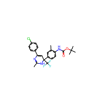 CC1=NC(c2ccc(Cl)cc2)=CC(c2ccc(NC(=O)OC(C)(C)C)c(C)c2)(C(F)(F)F)N1